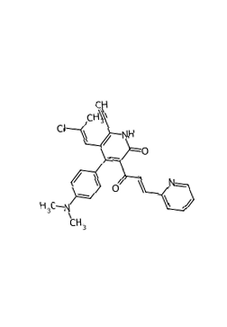 C#Cc1[nH]c(=O)c(C(=O)/C=C/c2ccccn2)c(-c2ccc(N(C)C)cc2)c1/C=C(\C)Cl